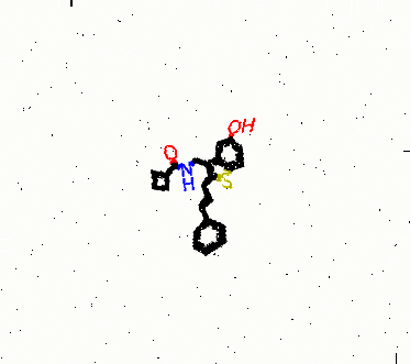 O=C(NCc1c(CC=Cc2ccccc2)sc2ccc(O)cc12)C1CCC1